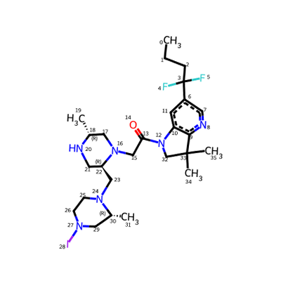 CCCC(F)(F)c1cnc2c(c1)N(C(=O)CN1C[C@@H](C)NC[C@@H]1CN1CCN(I)C[C@H]1C)CC2(C)C